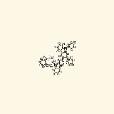 C=C1/C=C\C=C(\n2c3ccccc3c3ccc(-c4cc5c6ccccc6n(-c6ccccc6)c5cc4-c4ccccc4)cc32)COc2ccccc21